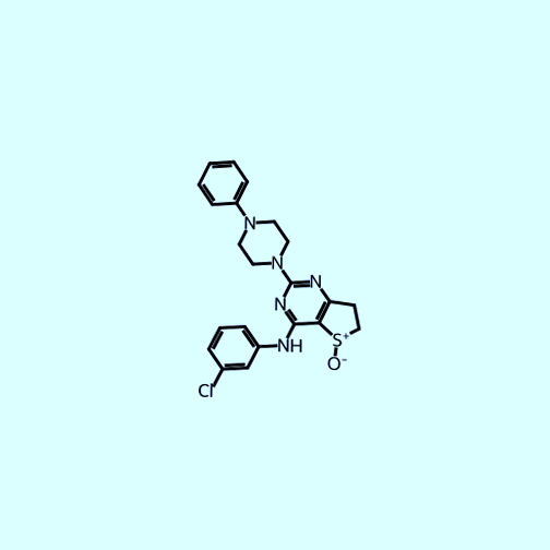 [O-][S+]1CCc2nc(N3CCN(c4ccccc4)CC3)nc(Nc3cccc(Cl)c3)c21